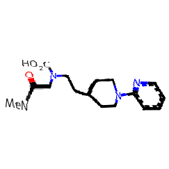 CNC(=O)CN(CCC1CCN(c2ccccn2)CC1)C(=O)O